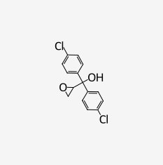 OC(c1ccc(Cl)cc1)(c1ccc(Cl)cc1)C1CO1